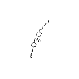 CCCCCCCC1CCC(C(=O)Oc2ccc(C#CC#N)cc2)CC1